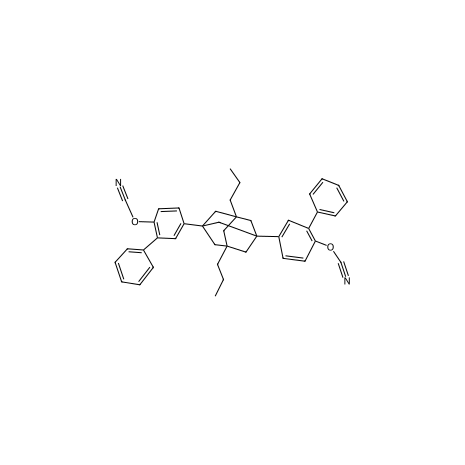 CCCC12CC3(CCC)CC(c4ccc(OC#N)c(-c5ccccc5)c4)(C1)CC(c1ccc(OC#N)c(-c4ccccc4)c1)(C2)C3